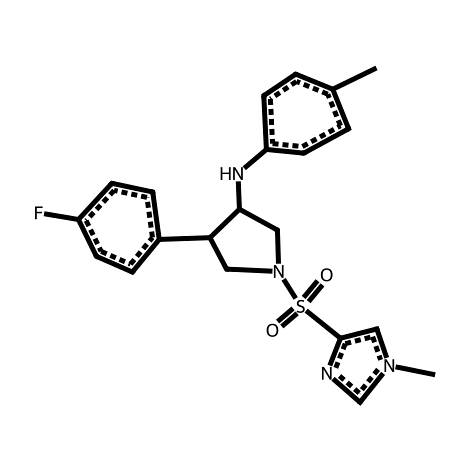 Cc1ccc(NC2CN(S(=O)(=O)c3cn(C)cn3)CC2c2ccc(F)cc2)cc1